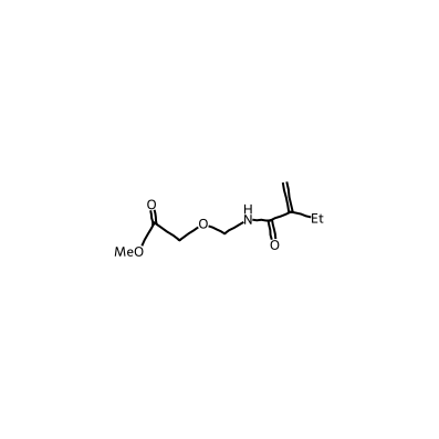 C=C(CC)C(=O)NCOCC(=O)OC